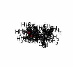 CCCCOCC1O[C@H](F)C(O[C@@H]2OC(COCCCC)[C@@H](O[C@@H]3OC(COCCCC)[C@H](OCCCC)C(OCCCC)C3OC(C)=O)C(OCCCC)[C@@H]2NC(=O)OCC(Cl)(Cl)Cl)C(OCCCC)[C@@H]1O[C@@H]1OC(COCCCC)[C@@H](O[C@H](OC(COCCCC)[C@@H](C)OCCCC)[C@H](COCCCC)OC(C)=O)C(OCCCC)[C@@H]1NC(=O)OCC(Cl)(Cl)Cl